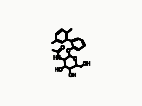 CC(=O)NC1C(Oc2ccccc2-c2cc(C)ccc2C)OC(CO)C(O)C1O